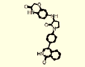 O=C1COc2cc(NC3CCN(c4ccc(-c5c[nH]c(=O)c6ccccc56)cc4)C3=O)ccc2N1